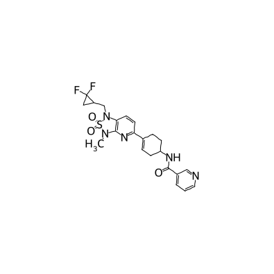 CN1c2nc(C3=CCC(NC(=O)c4cccnc4)CC3)ccc2N(CC2CC2(F)F)S1(=O)=O